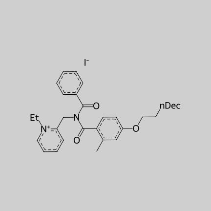 CCCCCCCCCCCCOc1ccc(C(=O)N(Cc2cccc[n+]2CC)C(=O)c2ccccc2)c(C)c1.[I-]